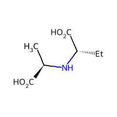 CC[C@H](N[C@H](C)C(=O)O)C(=O)O